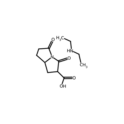 CCNCC.O=C(O)C1CC2CCC(=O)N2C1=O